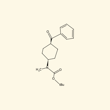 CN(C(=O)OC(C)(C)C)[C@H]1CC[C@@H](C(=O)c2ccccc2)CC1